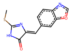 CSC1=N/C(=C\c2ccc3ncoc3c2)C(=O)N1